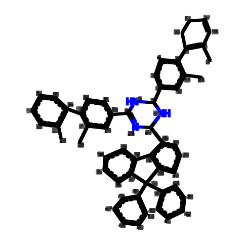 CC1=C(c2ccc(C3NC(c4ccc(-c5ccccc5C)c(C)c4)=NC(c4cccc5c4-c4ccccc4C5(c4ccccc4)c4ccccc4)N3)cc2C)CCC=C1